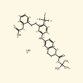 CC(C)(C)OC(=O)N1CCc2cc(Nc3ncc(C(F)(F)F)c(CCc4ccccc4CC(=O)O)n3)ccc2C1.[LiH]